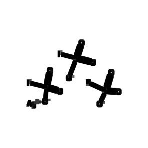 O=S(=O)([O-])F.O=S(=O)([O-])F.O=S(=O)([O-])F.[Ag+3]